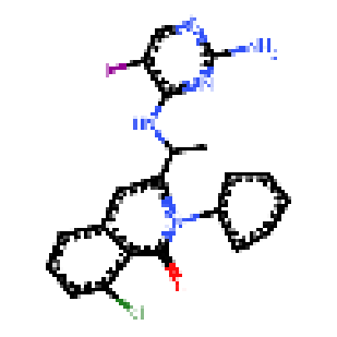 CC(Nc1nc(N)ncc1I)c1cc2cccc(Cl)c2c(=O)n1-c1ccccc1